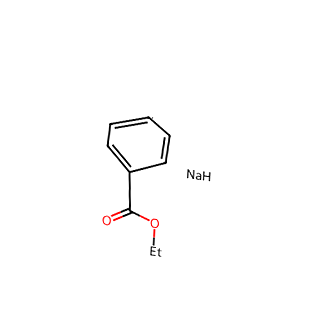 CCOC(=O)c1cc[c]cc1.[NaH]